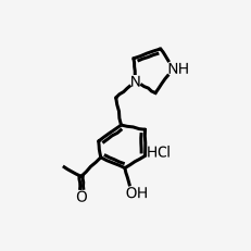 CC(=O)c1cc(CN2C=CNC2)ccc1O.Cl